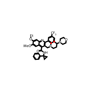 CCOc1cc2nc(-c3cccc(C(F)(F)F)c3)c(CN3CCC(N4CCOCC4)CC3)c(C(=O)NC3(c4ccccc4)CC3)c2cc1OC